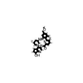 COCc1cc(F)c(-c2nc(C(=O)Nc3cnc4c(c3N3C[C@H](C)C[C@H](N)C3)CCC4O)ccc2F)c(F)c1